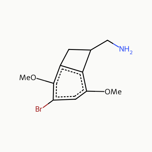 COc1cc(Br)c(OC)c2c1C(CN)C2